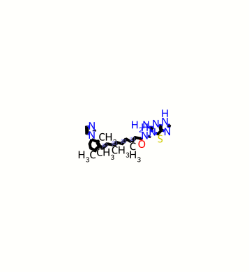 CC1=C(/C=C/C(C)=C/C=C/C(C)=C/C(=O)NCn2c(N)nc3[nH]cnc3c2=S)C(C)(C)CCC1n1ccnc1